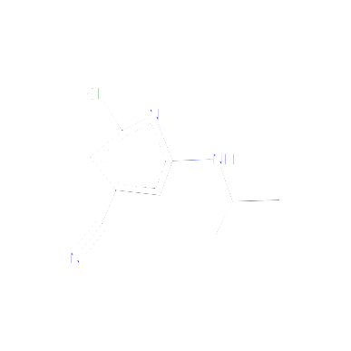 CC(C)Nc1cc(C#N)cc(Cl)n1